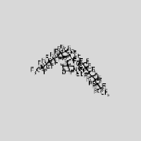 CC[N+](F)(CC1(C[N+](F)(CC)S(=O)(=O)C(F)(F)C(F)(F)C(F)(F)C(F)(F)C(F)(F)C(F)(F)C(F)(F)C(F)(F)F)COC1)S(=O)(=O)C(F)(F)C(F)(F)C(F)(F)C(F)(F)C(F)(F)C(F)(F)C(F)(F)C(F)(F)F